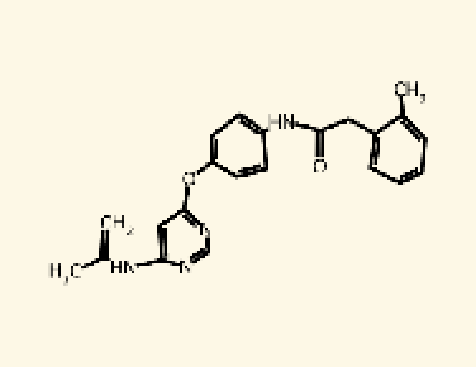 C=C(C)Nc1cc(Oc2ccc(NC(=O)Cc3ccccc3C)cc2)ncn1